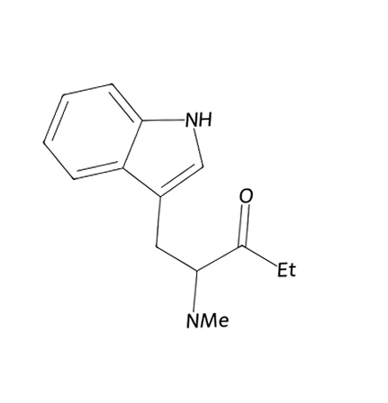 CCC(=O)C(Cc1c[nH]c2ccccc12)NC